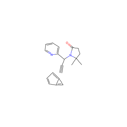 C#CC(c1ccccn1)N1C(=O)CCC1(C)C.c1cc2cc-2c1